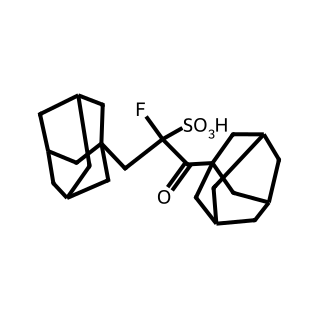 O=C(C12CC3CC(CC(C3)C1)C2)C(F)(CC12CC3CC(CC(C3)C1)C2)S(=O)(=O)O